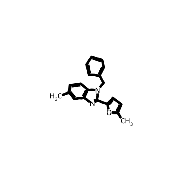 Cc1ccc2c(c1)nc(-c1ccc(C)o1)n2Cc1ccccc1